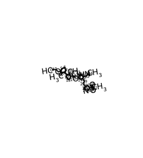 C#CCOc1cccc(-c2cccc(COc3cc(CCc4cncc(S(C)(=O)=O)c4)c(CNC)cc3Cl)c2C)c1C